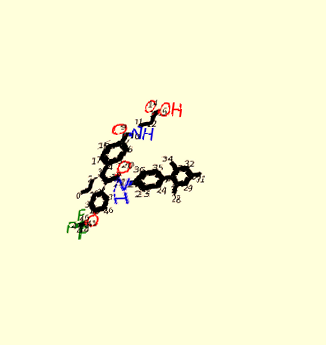 CCC[C@H](c1ccc(C(=O)NCCC(=O)O)cc1)[C@H](C(=O)Nc1ccc(-c2c(C)cc(C)cc2C)cc1)c1ccc(OC(F)(F)F)cc1